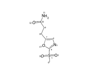 CS(=O)(=O)c1ncc(CCC(N)=O)o1